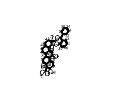 COC(=O)[C@]1(C)[C@@H](OC)CC[C@@]2(C)[C@H]1CC[C@]1(C)[C@@H]2C(=O)C=C2[C@@H]3C[C@@](C)(C(=O)OC(c4ccccc4)c4ccccc4)CC[C@]3(C)CC[C@]21C